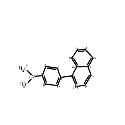 CN(C)c1ccc(-c2nccc3ccccc23)cc1